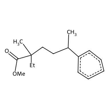 CCC(C)(CCC(C)c1ccccc1)C(=O)OC